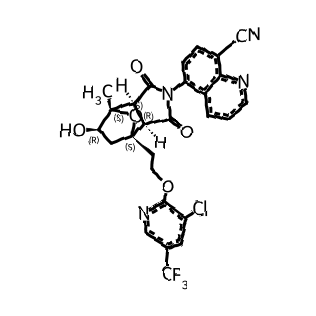 C[C@@]12O[C@@](CCOc3ncc(C(F)(F)F)cc3Cl)(C[C@H]1O)[C@@H]1C(=O)N(c3ccc(C#N)c4ncccc34)C(=O)[C@@H]12